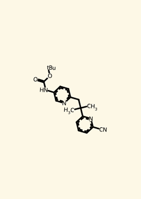 CC(C)(C)OC(=O)Nc1ccc(CC(C)(C)c2cccc(C#N)n2)nc1